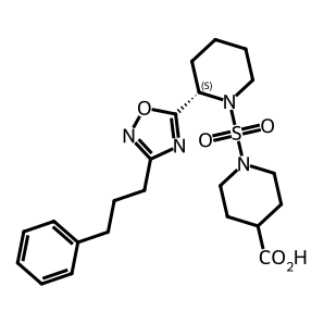 O=C(O)C1CCN(S(=O)(=O)N2CCCC[C@H]2c2nc(CCCc3ccccc3)no2)CC1